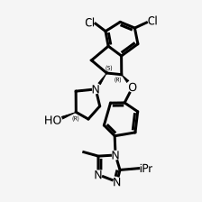 Cc1nnc(C(C)C)n1-c1ccc(O[C@@H]2c3cc(Cl)cc(Cl)c3C[C@@H]2N2CC[C@@H](O)C2)cc1